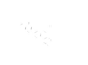 COCCCN/C=C(\C=N)c1cc2c(cc1C(=O)OC)-c1cc(=O)c(C(=O)O)cn1C(C(C)C)C2